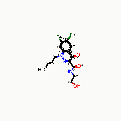 CCCCn1nc(C(=O)NCCO)c(=O)c2cc(F)c(F)cc21